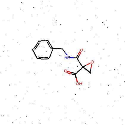 O=C(O)C1(C(=O)NCc2ccccc2)CO1